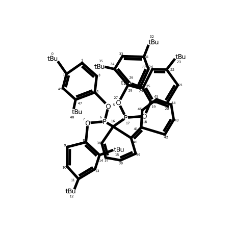 CC(C)(C)c1ccc(OP(Oc2ccc(C(C)(C)C)cc2C(C)(C)C)C2(P(Oc3ccc(C(C)(C)C)cc3C(C)(C)C)Oc3ccc(C(C)(C)C)cc3C(C)(C)C)C=CC=CC2=C2C=CC=CC2)c(C(C)(C)C)c1